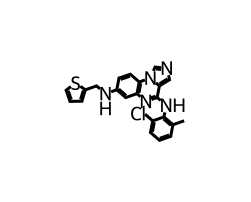 Cc1cccc(Cl)c1Nc1nc2cc(NCc3cccs3)ccc2n2cncc12